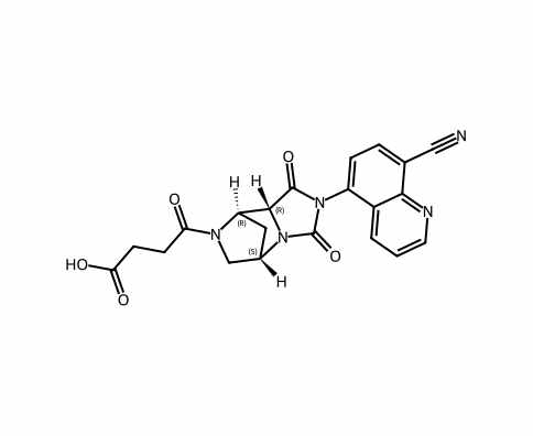 N#Cc1ccc(N2C(=O)[C@H]3[C@H]4C[C@@H](CN4C(=O)CCC(=O)O)N3C2=O)c2cccnc12